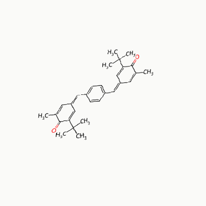 CC1=C/C(=C/c2ccc(/C=C3/C=C(C)C(=O)C(C(C)(C)C)=C3)cc2)C=C(C(C)(C)C)C1=O